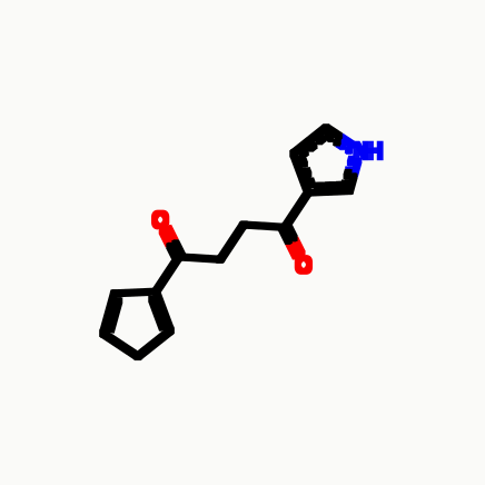 O=C(CCC(=O)c1cc[nH]c1)C1=CCC=C1